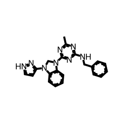 Cc1nc(NCc2ccccc2)nc(N2CN(c3cc[nH]n3)c3ccccc32)n1